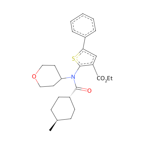 CCOC(=O)c1cc(-c2ccccc2)sc1N(C(=O)[C@H]1CC[C@H](C)CC1)C1CCOCC1